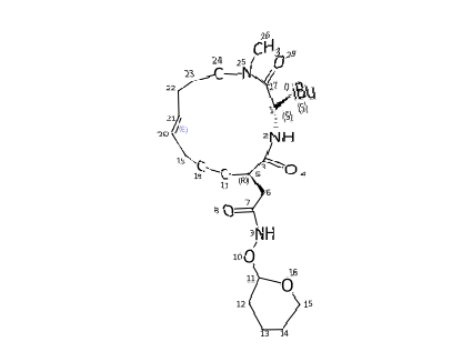 CC[C@H](C)[C@@H]1NC(=O)[C@@H](CC(=O)NOC2CCCCO2)CCC/C=C/CCCN(C)C1=O